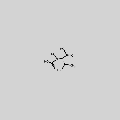 CC(C)[C@@H](C(=O)O)N(C)C(=O)O